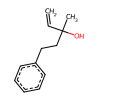 C=CC(C)(O)CCc1ccccc1